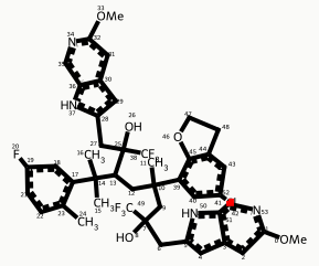 COc1cc2cc(CC(O)(CC(C)(CC(C(C)(C)c3cc(F)ccc3C)C(O)(Cc3cc4cc(OC)ncc4[nH]3)C(F)(F)F)c3cc(Cl)cc4c3OCC4)C(F)(F)F)[nH]c2cn1